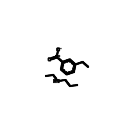 CCCNCC.CCc1cccc([N+](=O)[O-])c1